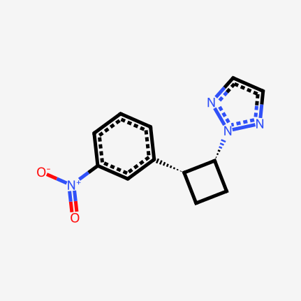 O=[N+]([O-])c1cccc([C@H]2CC[C@H]2n2nccn2)c1